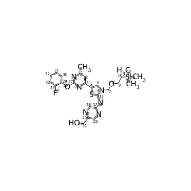 Cc1cc(-c2cn(COCC[Si](C)(C)C)/c(=N/c3cnc(CO)cn3)s2)nc(Oc2ccccc2F)n1